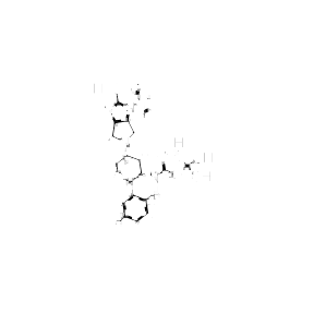 Cc1nc2c(n1S(C)(=O)=O)CN([C@H]1CO[C@H](c3cc(F)ccc3F)[C@@H](NC(=O)OC(C)(C)C)C1)C2